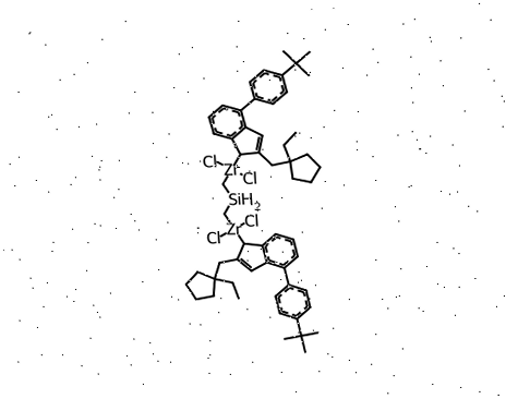 CCC1(CC2=Cc3c(-c4ccc(C(C)(C)C)cc4)cccc3[CH]2[Zr]([Cl])([Cl])[CH2][SiH2][CH2][Zr]([Cl])([Cl])[CH]2C(CC3(CC)CCCC3)=Cc3c(-c4ccc(C(C)(C)C)cc4)cccc32)CCCC1